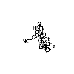 CC[C@H]1O[C@@H](n2ccc(=O)[nH]c2=O)C(OCOCCC#N)[C@H]1O[P@@]1O[C@](C)(c2ccccc2)[C@@H]2CCCN21